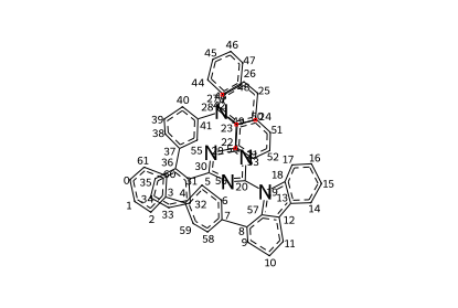 c1ccc(-c2ccc(-c3cccc4c5ccccc5n(-c5nc(-c6ccccc6)nc(-c6ccccc6-c6cccc(N(c7ccccc7)c7ccccc7)c6)n5)c34)cc2)cc1